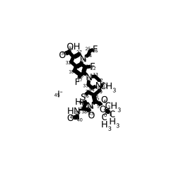 CC(C)(C)OC(=O)C1=C(C[N+]2(C)CCN(c3c(F)cc4c(c3F)N(CCF)C=C(C(=O)O)C4)CC2)CS[C@@H]2[C@H](NC=O)C(=O)N12.[I-]